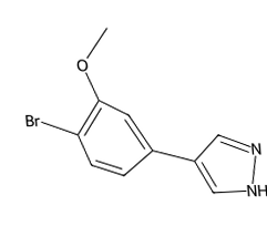 COc1cc(-c2cn[nH]c2)ccc1Br